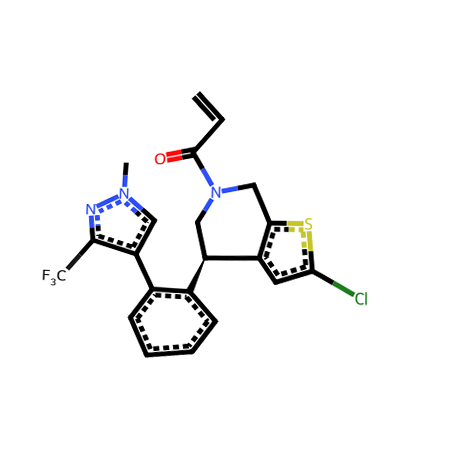 C=CC(=O)N1Cc2sc(Cl)cc2[C@@H](c2ccccc2-c2cn(C)nc2C(F)(F)F)C1